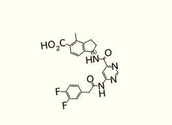 Cc1c(C(=O)O)ccc2c1CC[C@@H]2NC(=O)c1cc(NC(=O)Cc2ccc(F)c(F)c2)ncn1